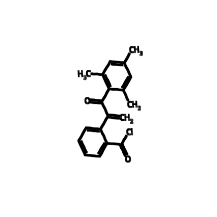 C=C(C(=O)c1c(C)cc(C)cc1C)c1ccccc1C(=O)Cl